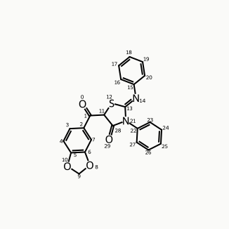 O=C(c1ccc2c(c1)OCO2)C1SC(=Nc2ccccc2)N(c2ccccc2)C1=O